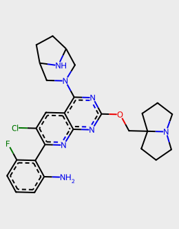 Nc1cccc(F)c1-c1nc2nc(OCC34CCCN3CCC4)nc(N3CC4CCC(C3)N4)c2cc1Cl